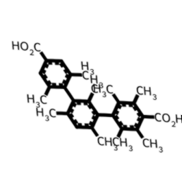 Cc1cc(C(=O)O)cc(C)c1-c1c(C)cc(C)c(-c2c(C)c(C)c(C(=O)O)c(C)c2C)c1C